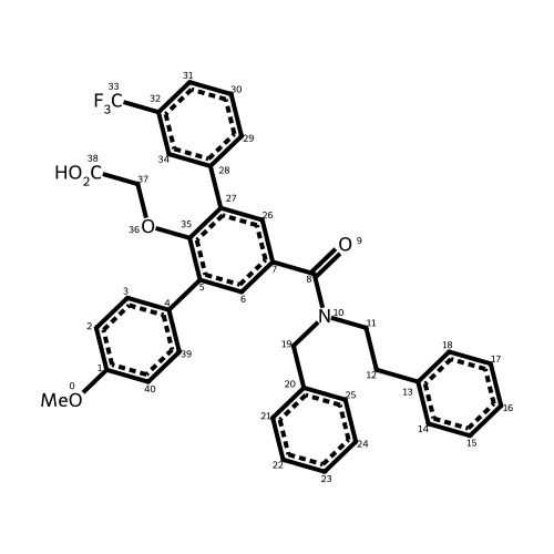 COc1ccc(-c2cc(C(=O)N(CCc3ccccc3)Cc3ccccc3)cc(-c3cccc(C(F)(F)F)c3)c2OCC(=O)O)cc1